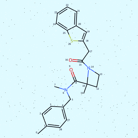 Cc1ccc(CN(C)C(=O)C2(C)CCN2C(=O)Cc2cc3ccccc3s2)cc1